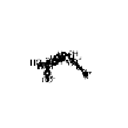 CC(CCC(=O)OCCOCCN=[N+]=[N-])C1CC[C@H]2[C@@H]3CC[C@@H]4C[C@H](OC(=O)[C@H](CC(=O)O)NC(=O)c5ccc([N+](=O)[O-])cc5)CC[C@]4(C)[C@H]3CC[C@]12C